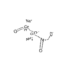 O=[N+]([O-])[O-].[NH4+].[Na+].[O]=[GeH][O-]